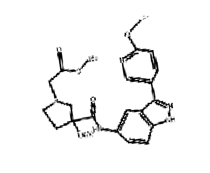 COC1(C(=O)Nc2ccc3[nH]nc(-c4ccc(OC(C)C)nc4)c3c2)CCN(CC(=O)OC(C)(C)C)C1